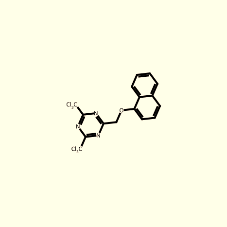 ClC(Cl)(Cl)c1nc(COc2cccc3ccccc23)nc(C(Cl)(Cl)Cl)n1